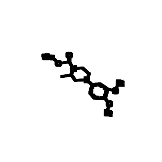 CCOc1ccc(N2CCN(C(=O)OC(C)(C)C)C(C)C2)cc1OCC